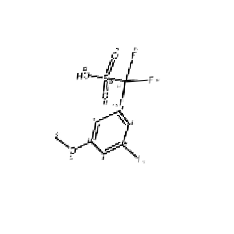 COc1cccc(I)c1.O=S(=O)(O)C(F)(F)F